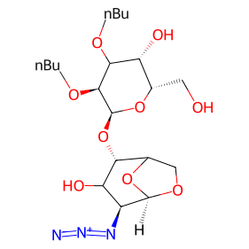 CCCCOC1[C@H](O)[C@H](CO)O[C@@H](O[C@@H]2C3CO[C@H](O3)[C@@H](N=[N+]=[N-])C2O)[C@H]1OCCCC